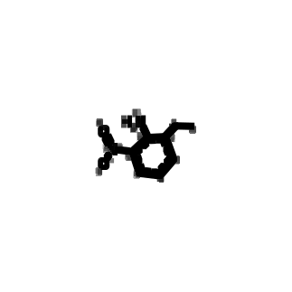 C[CH]c1cccc([N+](=O)[O-])c1N